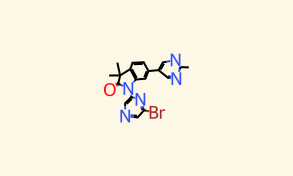 Cc1ncc(-c2ccc3c(c2)N(c2cncc(Br)n2)C(=O)C3(C)C)cn1